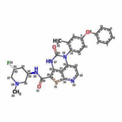 Cc1cc(Oc2ccccc2)ccc1N1C(=O)Nc2c(C(=O)N[C@@H]3C[C@@H](F)CN(C)C3)sc3nccc1c23